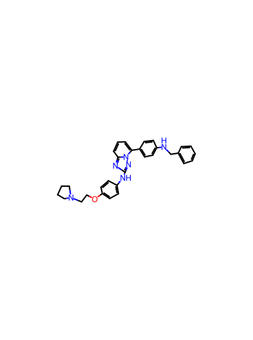 c1ccc(CNc2ccc(-c3cccc4nc(Nc5ccc(OCCN6CCCC6)cc5)nn34)cc2)cc1